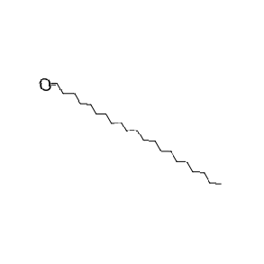 CCCCCCCCCCCCCCCCCCCCC=O